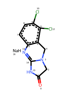 O=C1CN2Cc3c(ccc(Cl)c3Cl)N=C2N1.[NaH]